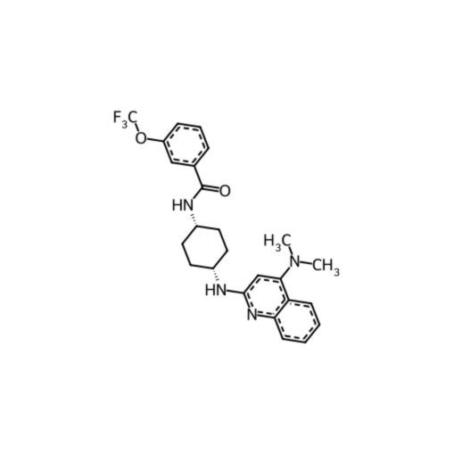 CN(C)c1cc(N[C@H]2CC[C@@H](NC(=O)c3cccc(OC(F)(F)F)c3)CC2)nc2ccccc12